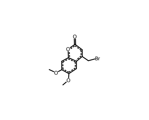 COc1cc2oc(=O)cc(CBr)c2cc1OC